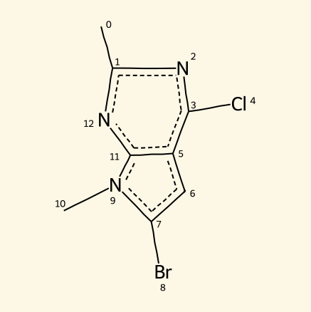 Cc1nc(Cl)c2cc(Br)n(C)c2n1